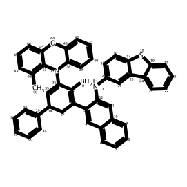 BC1=C(c2cc3ccccc3cc2Nc2ccc3sc4ccccc4c3c2)CC(c2ccccc2)C=C1N1c2ccccc2Oc2cccc(C)c21